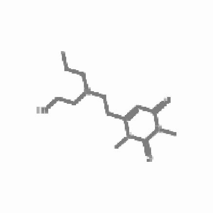 CCCN(CCO)CCc1cc(=O)n(C)c(=O)n1C